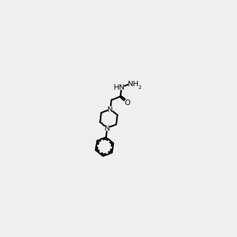 NNC(=O)CN1CCN(c2ccccc2)CC1